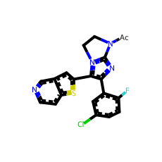 CC(=O)N1CCn2c1nc(-c1cc(Cl)ccc1F)c2-c1cc2cnccc2s1